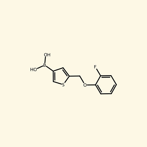 OB(O)c1csc(COc2ccccc2F)c1